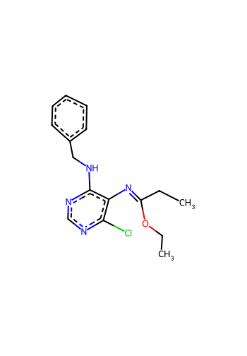 CCOC(CC)=Nc1c(Cl)ncnc1NCc1ccccc1